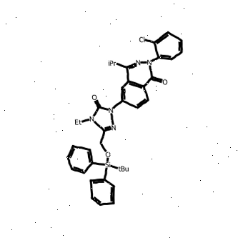 CCn1c(CO[Si](c2ccccc2)(c2ccccc2)C(C)(C)C)nn(-c2ccc3c(=O)n(-c4ccccc4Cl)nc(C(C)C)c3c2)c1=O